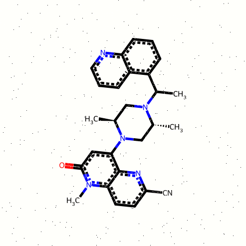 CC(c1cccc2ncccc12)N1C[C@H](C)N(c2cc(=O)n(C)c3ccc(C#N)nc23)C[C@H]1C